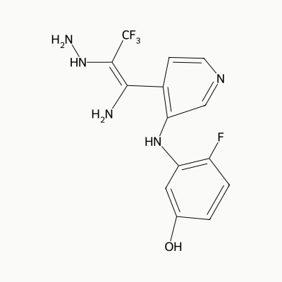 NN/C(=C(\N)c1ccncc1Nc1cc(O)ccc1F)C(F)(F)F